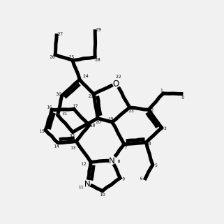 CCC1=CC(CC)=C(N2CCN=C2C2=CC=CCC2)C2C3=C(OC12)C(C(CC)CC)=CCC3